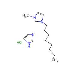 CCCCCCCCN1C=CN(C)C1.Cl.c1c[nH]cn1